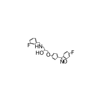 OC(CNCc1cccc(F)c1)COc1ccc(-c2noc3cc(F)ccc23)cc1